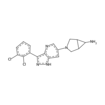 NC1C2CN(c3cnc4c(-c5cccc(Cl)c5Cl)n[nH]c4c3)CC12